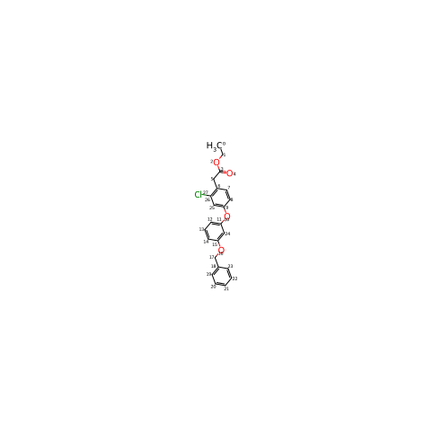 CCOC(=O)Cc1ccc(Oc2cccc(OCc3ccccc3)c2)cc1Cl